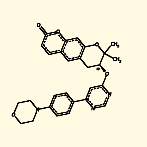 CC1(C)Oc2cc3oc(=O)ccc3cc2C[C@@H]1Oc1cc(-c2ccc(N3CCOCC3)cc2)ncn1